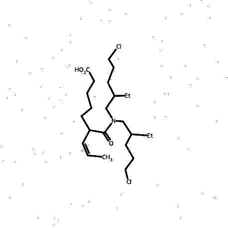 C/C=C\C(CCCCC(=O)O)C(=O)N(CC(CC)CCCCl)CC(CC)CCCCl